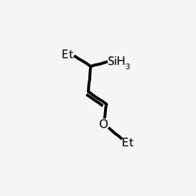 CCOC=CC([SiH3])CC